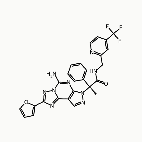 C[C@](C(=O)NCc1cc(C(F)(F)F)ccn1)(c1ccccc1)n1ncc2c1nc(N)n1nc(-c3ccco3)nc21